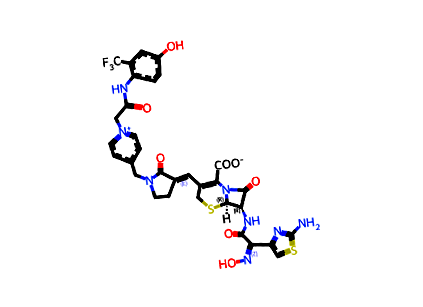 Nc1nc(/C(=N/O)C(=O)N[C@@H]2C(=O)N3C(C(=O)[O-])=C(/C=C4\CCN(Cc5cc[n+](CC(=O)Nc6ccc(O)cc6C(F)(F)F)cc5)C4=O)CS[C@H]23)cs1